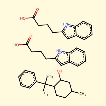 CC1CCC(C(C)(C)c2ccccc2)C(O)C1.O=C(O)CCCc1cc2ccccc2[nH]1.O=C(O)CCCc1cc2ccccc2[nH]1